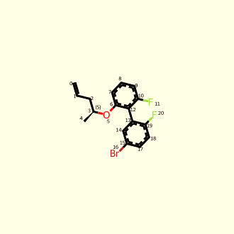 C=CC[C@H](C)Oc1cccc(F)c1-c1cc(Br)ccc1F